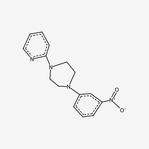 O=[N+]([O-])c1cccc(N2CCN(c3ccccn3)CC2)c1